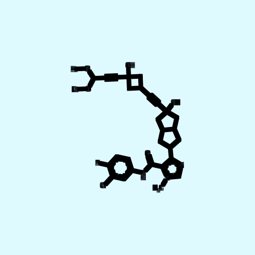 CCOC(C#CC1(O)CC(C#CC2(O)CC3CC(c4ncn(C)c4C(=O)Nc4ccc(F)c(Cl)c4)CC3C2)C1)OCC